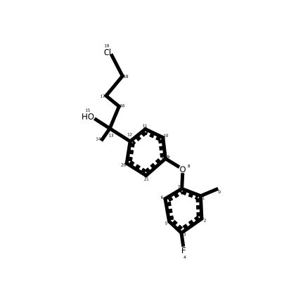 Cc1cc(F)ccc1Oc1ccc(C(C)(O)CCCCl)cc1